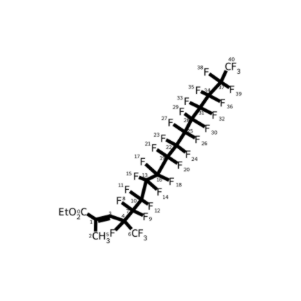 CCOC(=O)C(C)=CC(F)(C(F)(F)F)C(F)(F)C(F)(F)C(F)(F)C(F)(F)C(F)(F)C(F)(F)C(F)(F)C(F)(F)C(F)(F)C(F)(F)C(F)(F)C(F)(F)F